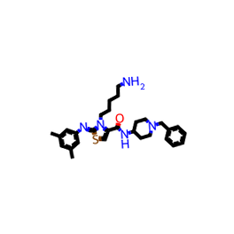 Cc1cc(C)cc(/N=c2\scc(C(=O)NC3CCN(Cc4ccccc4)CC3)n2CCCCCN)c1